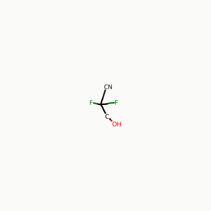 N#CC(F)(F)CO